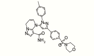 Cc1ccc(-n2nc(-c3ccc(S(=O)(=O)N4CCOCC4)cc3)cc2N2C=CCn3ncc(C(N)=O)c32)cc1